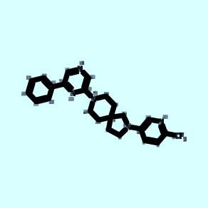 FC(F)(F)c1ccc(N2CCC3(CCN(c4cncc(-c5ccccc5)n4)CC3)C2)cn1